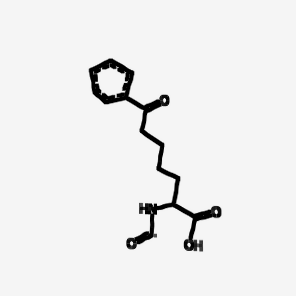 O=[C]NC(CCCCC(=O)c1ccccc1)C(=O)O